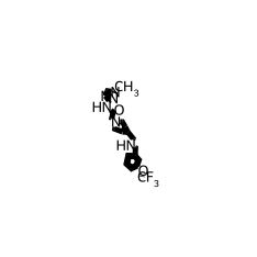 Cn1cnc(NC(=O)CN2CC3C(CNCc4cccc(OC(F)(F)F)c4)C3C2)n1